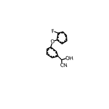 N#CC(O)c1cccc(Oc2ccccc2F)c1